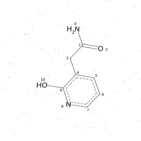 NC(=O)Cc1cccnc1O